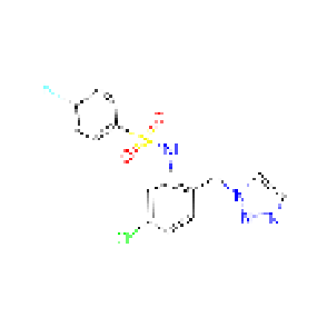 O=S(=O)(Nc1cc(Cl)ccc1Cn1ccnn1)c1ccc(F)cc1